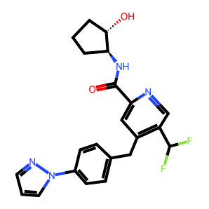 O=C(N[C@H]1CCC[C@@H]1O)c1cc(Cc2ccc(-n3cccn3)cc2)c(C(F)F)cn1